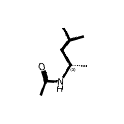 CC(=O)N[C@@H](C)CC(C)C